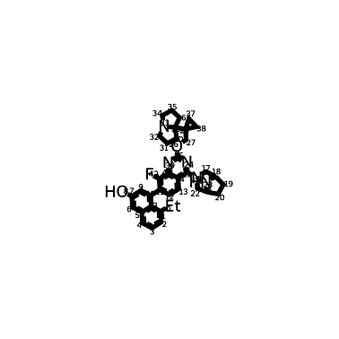 CCc1cccc2cc(O)cc(-c3ccc4c(N5CC6CCC(C5)N6)nc(OCC5(C67CCCN6CCC7)CC5)nc4c3F)c12